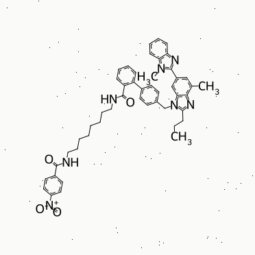 CCCc1nc2c(C)cc(-c3nc4ccccc4n3C)cc2n1Cc1ccc(-c2ccccc2C(=O)NCCCCCCCCNC(=O)c2ccc([N+](=O)[O-])cc2)cc1